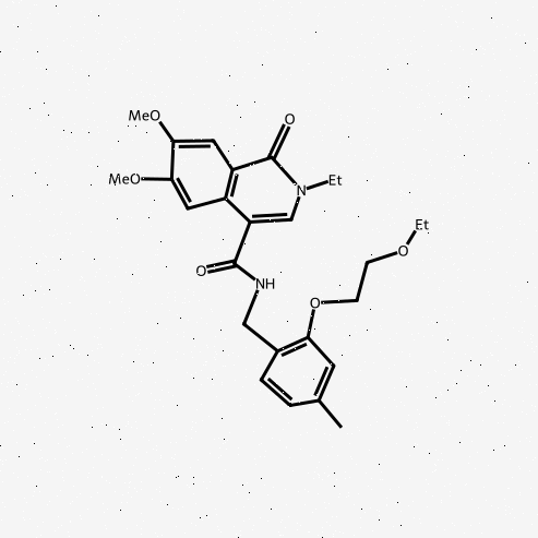 CCOCCOc1cc(C)ccc1CNC(=O)c1cn(CC)c(=O)c2cc(OC)c(OC)cc12